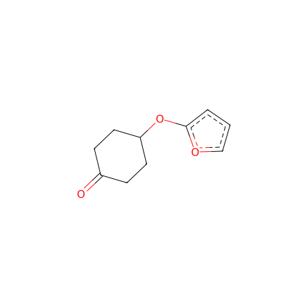 O=C1CCC(Oc2ccco2)CC1